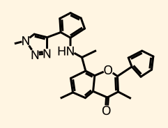 Cc1cc(C(C)Nc2ccccc2-c2cn(C)nn2)c2oc(-c3ccccc3)c(C)c(=O)c2c1